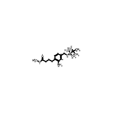 COC(=O)CCCc1ccc(CO[Si](C)(C)C(C)(C)C)cc1N